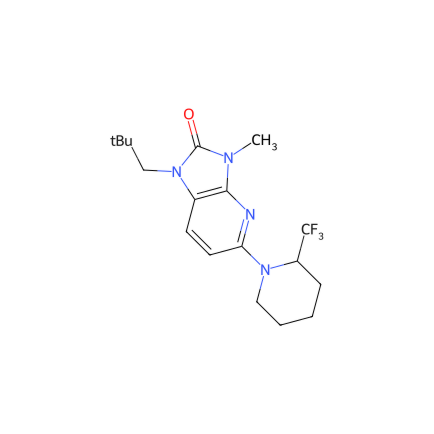 Cn1c(=O)n(CC(C)(C)C)c2ccc(N3CCCCC3C(F)(F)F)nc21